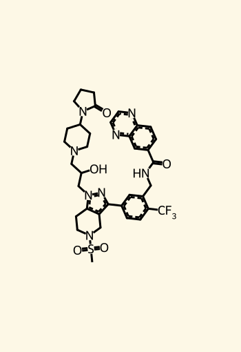 CS(=O)(=O)N1CCc2c(c(-c3ccc(C(F)(F)F)c(CNC(=O)c4ccc5nccnc5c4)c3)nn2CC(O)CN2CCC(N3CCCC3=O)CC2)C1